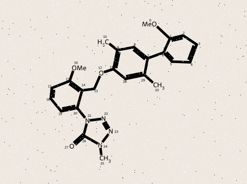 COc1ccccc1-c1cc(C)c(OCc2c(OC)cccc2-n2nnn(C)c2=O)cc1C